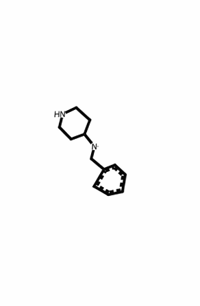 c1ccc(C[N]C2CCNCC2)cc1